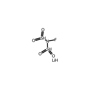 O=[SH](=O)N(F)[SH](=O)=O.[LiH]